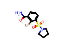 NC(=O)c1cccc(S(=O)(=O)N2CCCC2)c1Br